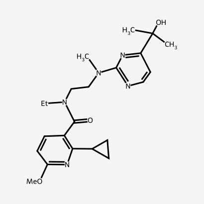 CCN(CCN(C)c1nccc(C(C)(C)O)n1)C(=O)c1ccc(OC)nc1C1CC1